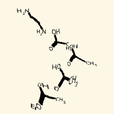 CC(=O)O.CC(=O)O.CC(=O)O.CC(=O)O.NCCN.[Er]